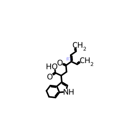 C=C/C=C(\C=C)C(=O)CC(C(=O)O)c1c[nH]c2c1=CCCC=2